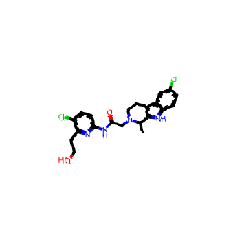 CC1c2[nH]c3ccc(Cl)cc3c2CCN1CC(=O)Nc1ccc(Cl)c(CCO)n1